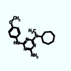 COc1ccc(Nc2nc(N)nc(N(C)C3CCCCCC3)n2)cc1